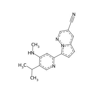 CNc1cc(-c2ccc3cc(C#N)cnn23)ncc1C(C)C